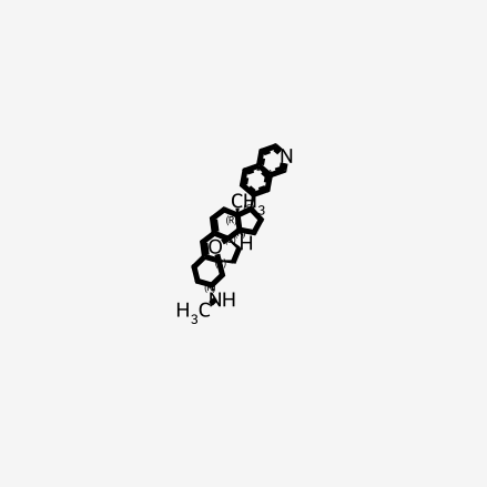 CN[C@@H]1CCC2=CC3=CC[C@]4(C)[C@@H](c5ccc6ccncc6c5)CC[C@H]4[C@@]34CC[C@]2(C1)O4